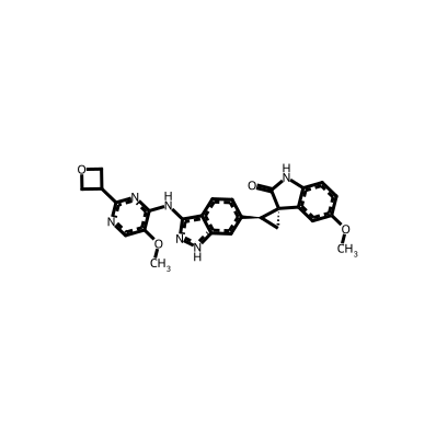 COc1ccc2c(c1)[C@]1(C[C@H]1c1ccc3c(Nc4nc(C5COC5)ncc4OC)n[nH]c3c1)C(=O)N2